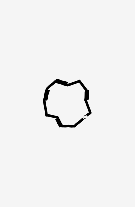 [C]1=C/C/C=C/C=C\C/C=C/CCC/1